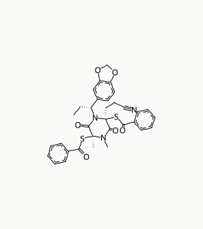 CC[C@H](c1ccc2c(c1)OCO2)N1C(=O)[C@](C)(SC(=O)c2ccccc2)N(C)C(=O)[C@]1(CCC#N)SC(=O)c1ccccc1